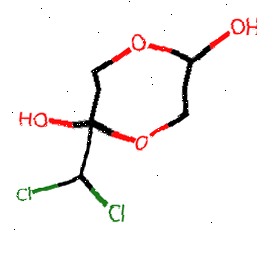 OC1COC(O)(C(Cl)Cl)CO1